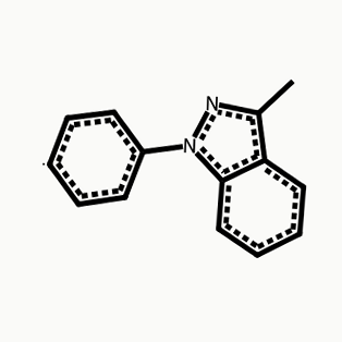 Cc1nn(-c2cc[c]cc2)c2ccccc12